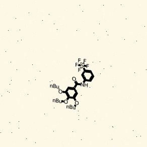 CCCCOc1cc(C(=O)Nc2cccc(S(F)(F)(F)(F)F)c2)cc(OCCCC)c1OCCCC